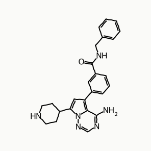 Nc1ncnn2c(C3CCNCC3)cc(-c3cccc(C(=O)NCc4ccccc4)c3)c12